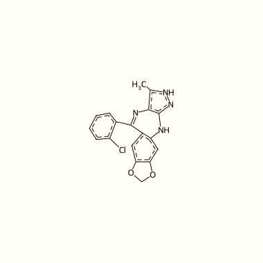 Cc1[nH]nc2c1N=C(c1ccccc1Cl)c1cc3c(cc1N2)OCO3